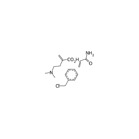 C=C(CCN(C)C)C(=O)O.C=CC(N)=O.ClCc1ccccc1